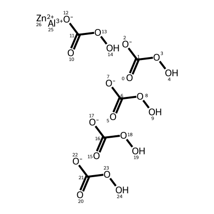 O=C([O-])OO.O=C([O-])OO.O=C([O-])OO.O=C([O-])OO.O=C([O-])OO.[Al+3].[Zn+2]